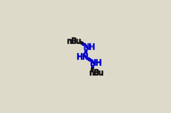 CCCCNNNCCCC